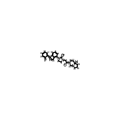 O=C(CN1CCN(c2cccc3c2cnn3-c2ccccc2F)C1=O)N1CC[C@@H]2CCCN2C1